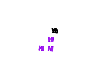 I.I.I.[Yb]